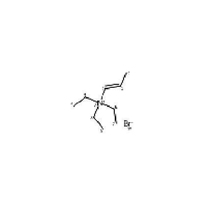 CC=C[N+](CC)(CC)CC.[Br-]